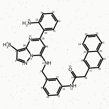 Bc1cnn2c(NCc3cccc(NC(=O)Cc4ccc5ccccc5c4)c3)cc(-c3ccccc3N)nc12